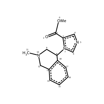 COC(=O)c1cncn1C1CN(C)Cc2ccccc21